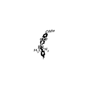 COc1ccc(S(=O)(=O)N2CCN(c3nc(C(C)(C)c4ccc(F)cc4)no3)CC2)cc1